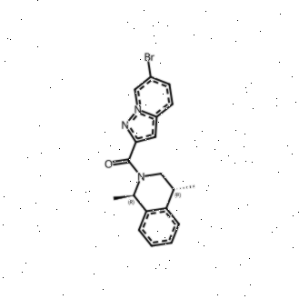 C[C@@H]1c2ccccc2[C@@H](C)CN1C(=O)c1cc2ccc(Br)cn2n1